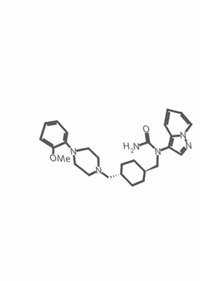 COc1ccccc1N1CCN(C[C@H]2CC[C@H](CN(C(N)=O)c3cnn4ccccc34)CC2)CC1